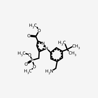 COC(=O)c1cc(CP(=O)(OC)OC)n(-c2cc(CN)cc(C(C)(C)C)c2)n1